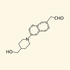 O=CCc1ccc2cc(N3CCC(CO)CC3)ccc2c1